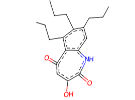 CCCc1cc2[nH]c(=O)c(O)cc(=O)c2c(CCC)c1CCC